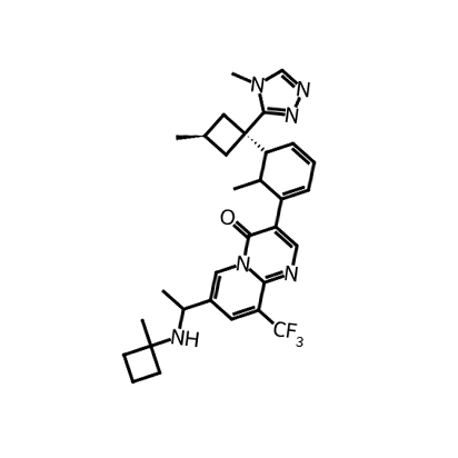 CC(NC1(C)CCC1)c1cc(C(F)(F)F)c2ncc(C3=CC=CC([C@]4(c5nncn5C)C[C@@H](C)C4)C3C)c(=O)n2c1